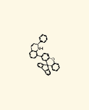 C1=CC(c2ccccc2)Nc2c1cccc2-c1ccc2c(c1)C1(c3ccccc3O2)c2ccccc2-c2ccccc21